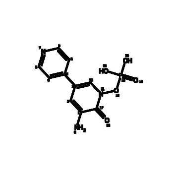 Nc1cc(-c2ccncc2)cn(OP(=O)(O)O)c1=O